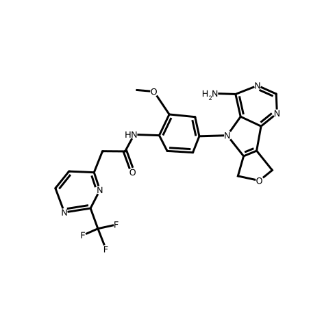 COc1cc(-n2c3c(c4ncnc(N)c42)COC3)ccc1NC(=O)Cc1ccnc(C(F)(F)F)n1